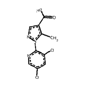 Cc1c(C(=O)O)cnn1-c1ncc(Cl)cc1Cl